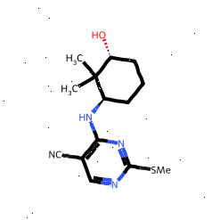 CSc1ncc(C#N)c(N[C@@H]2CCC[C@@H](O)C2(C)C)n1